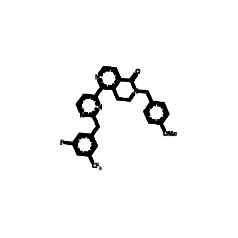 COc1ccc(CN2CCc3c(ccnc3-c3ccnc(Cc4cc(F)cc(C(F)(F)F)c4)n3)C2=O)cc1